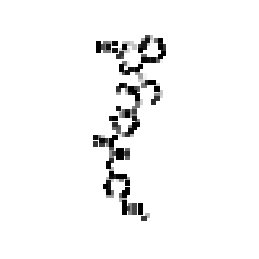 Nc1ccc(CNC(=O)c2ccc(N3CCCN(C(=O)c4ccccc4C(=O)O)C3=O)nn2)cc1